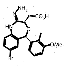 COc1cccc([C@H]2O[C@H](CC(=O)O)C(=NN)Nc3ccc(Br)cc32)c1C